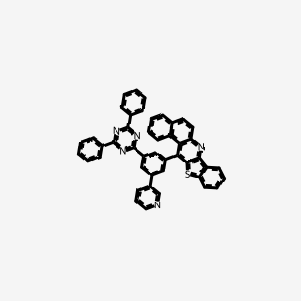 c1ccc(-c2nc(-c3ccccc3)nc(-c3cc(-c4cccnc4)cc(-c4c5sc6ccccc6c5nc5ccc6ccccc6c45)c3)n2)cc1